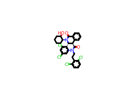 O=C(NCCc1c(Cl)cccc1Cl)[C@@H]1c2ccccc2C(=O)N([C@H]2CCCCC2O)[C@H]1c1ccc(Cl)cc1Cl